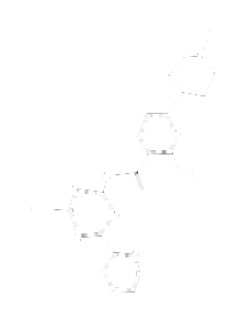 CC(=O)N1CCC(c2ccc(C(=O)Nc3nc(C)nc(-c4ccccn4)n3)c(C)n2)CC1